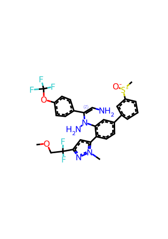 COCC(F)(F)c1cc(-c2ccc(-c3cccc([S+](C)[O-])c3)cc2N(N)/C(=C\N)c2ccc(OC(F)(F)F)cc2)n(C)n1